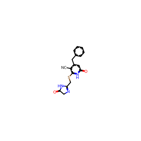 N#Cc1c(Cc2ccccc2)cc(=O)[nH]c1SCC1=NCC(=O)N1